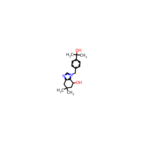 CC1(C)Cc2ncn(Cc3ccc(C(C)(C)O)cc3)c2C(O)C1